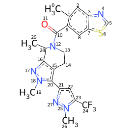 Cc1cc2ncsc2cc1C(=O)N1CCc2c(nn(C)c2-c2cc(C(F)(F)F)n(C)n2)C1C